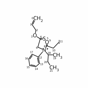 C=CCOC(=S)C[N+](C(=O)CI)(c1ccccc1)C(C)CC